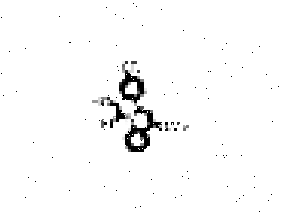 CCC(CO)N1c2ccccc2C(OC)=C[C@@H]1c1ccc(C(F)(F)F)cc1